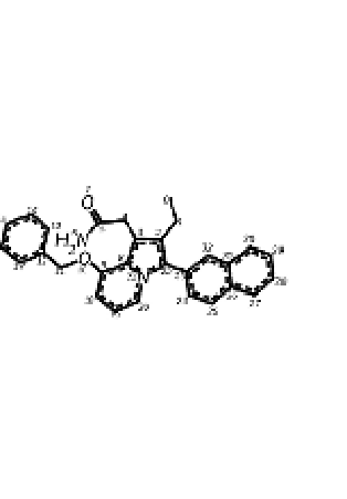 CCc1c(CC(N)=O)c2c(OCc3ccccc3)cccn2c1-c1ccc2ccccc2c1